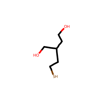 OCCC(CO)CCS